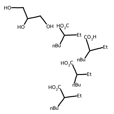 CCCCC(CC)C(=O)O.CCCCC(CC)C(=O)O.CCCCC(CC)C(=O)O.CCCCC(CC)C(=O)O.OCC(O)CO